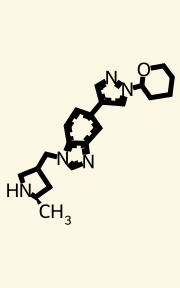 C[C@@H]1CC(Cn2cnc3cc(-c4cnn(C5CCCCO5)c4)ccc32)CN1